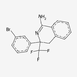 NC1=NC(c2cccc(Br)c2)(C(F)(F)F)Cc2ccccc21